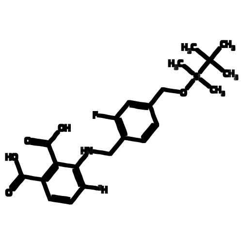 [2H]c1ccc(C(=O)O)c(C(=O)O)c1NCc1ccc(CO[Si](C)(C)C(C)(C)C)cc1F